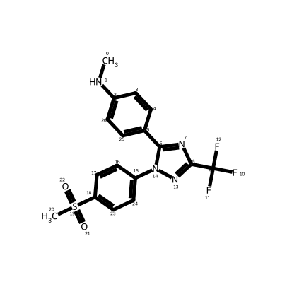 CNc1ccc(-c2nc(C(F)(F)F)nn2-c2ccc(S(C)(=O)=O)cc2)cc1